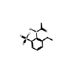 CCc1cccc(S(=O)(=O)Cl)c1N(Cl)C(C)=O